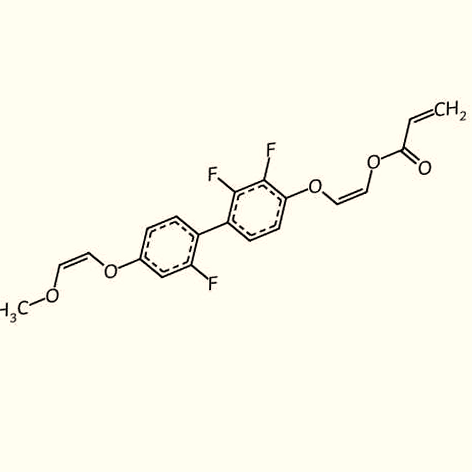 C=CC(=O)O/C=C\Oc1ccc(-c2ccc(O/C=C\OC)cc2F)c(F)c1F